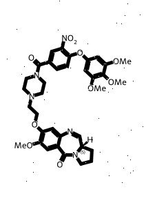 COc1cc2c(cc1OCCN1CCN(C(=O)c3ccc(Oc4cc(OC)c(OC)c(OC)c4)c([N+](=O)[O-])c3)CC1)N=C[C@@H]1CCCN1C2=O